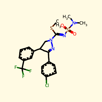 CSC(=NS(=O)(=O)N(C)C)N1CC(c2cccc(C(F)(F)F)c2)C(c2ccc(Cl)cc2)=N1